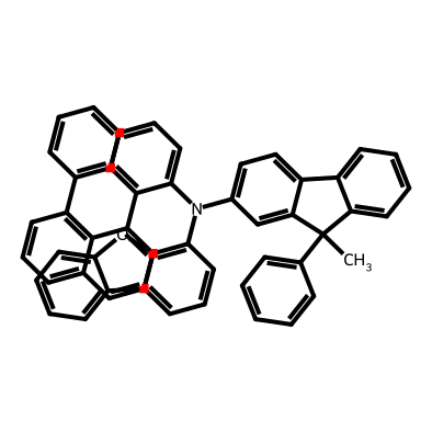 CC1(c2ccccc2)c2ccccc2-c2ccc(N(c3ccccc3-c3cccc4cccc(-c5ccccc5)c34)c3cccc4c3oc3ccccc34)cc21